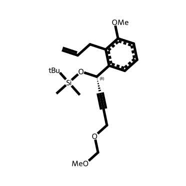 C=CCc1c(OC)cccc1[C@H](C#CCOCOC)O[Si](C)(C)C(C)(C)C